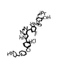 Cc1c(NC(=O)N2C[C@H](CC(C)C)[C@@H](O)C2)cc(F)cc1-c1ncnc2[nH]c(-c3ccc(OC4CCN(CC5CCNCC5)CC4)cc3)cc12.Cl